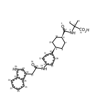 CC(C)(NC(=O)[C@H]1CC[C@@H](c2ccc(NC(=O)Cc3c[nH]c4ccccc34)cc2)CC1)C(=O)O